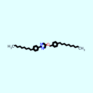 CCCCCCCCCCc1ccc(COc2cnc(-c3ccc(CCCCCCCCC)cc3)nc2)cc1